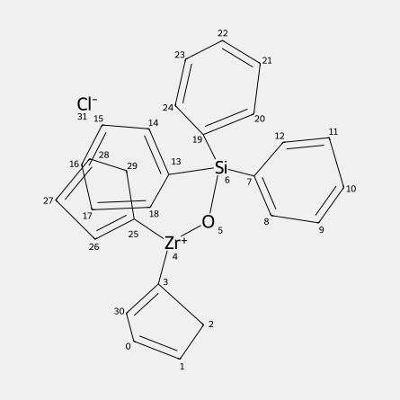 C1=CC[C]([Zr+]([O][Si](c2ccccc2)(c2ccccc2)c2ccccc2)[C]2=CC=CC2)=C1.[Cl-]